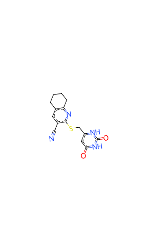 N#Cc1cc2c(nc1SCc1cc(=O)[nH]c(=O)[nH]1)CCCC2